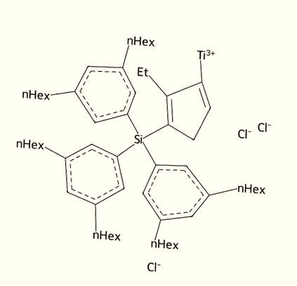 CCCCCCc1cc(CCCCCC)cc([Si](C2=C(CC)[C]([Ti+3])=CC2)(c2cc(CCCCCC)cc(CCCCCC)c2)c2cc(CCCCCC)cc(CCCCCC)c2)c1.[Cl-].[Cl-].[Cl-]